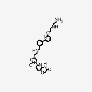 NCCNCCOc1cccc(-c2cccc(CNCC[C@H]3CN(c4ccc5c(n4)NC(=O)CO5)C(=O)O3)c2)n1